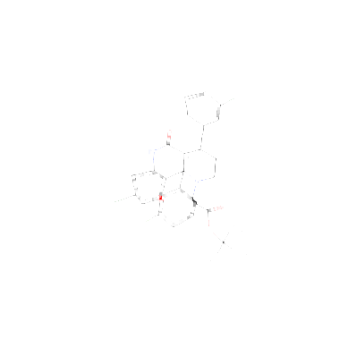 CC(C)(C)OC(=O)CN1CCC(C2C=C(Cl)C=CC2)[C@@H]2C(=O)Nc3cc(Cl)ccc3C21c1cccc(F)c1